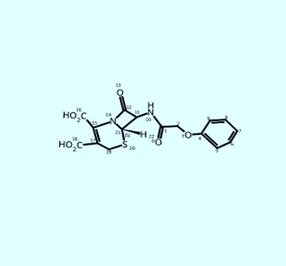 O=C(COc1ccccc1)NC1C(=O)N2C(C(=O)O)=C(C(=O)O)CS[C@@H]12